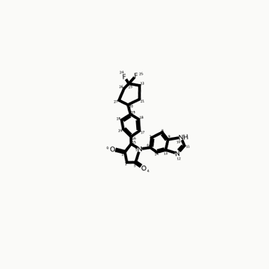 O=C1CC(=O)N(c2ccc3[nH]cnc3c2)C1c1ccc(C2CCC(F)(F)CC2)cc1